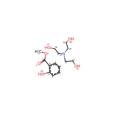 COC(=O)c1ccccc1O.OCCN(CCO)CCO